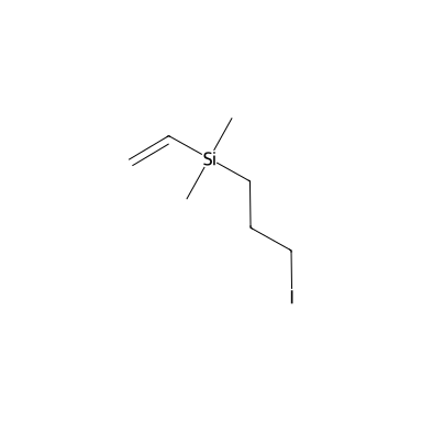 C=C[Si](C)(C)CCCI